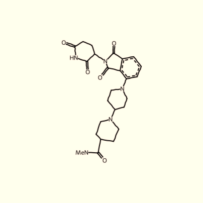 CNC(=O)C1CCN(C2CCN(c3cccc4c3C(=O)N(C3CCC(=O)NC3=O)C4=O)CC2)CC1